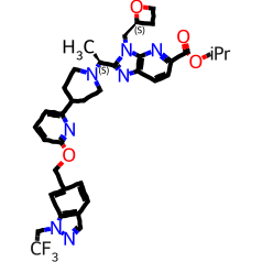 CC(C)OC(=O)c1ccc2nc([C@H](C)N3CCC(c4cccc(OCc5ccc6cnn(CC(F)(F)F)c6c5)n4)CC3)n(C[C@@H]3CCO3)c2n1